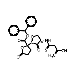 C=C(C#N)CC(=S)N[C@H]1CON(C2(C(=O)OC(c3ccccc3)c3ccccc3)CCC(=O)O2)C1=O